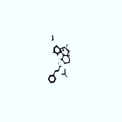 COc1cc(OC(C)=O)c2c3c1O[C@H]1[C@@H](N(CC(C)C)C(=O)C=Cc4ccccc4)CC[C@H]4[C@@H](C2)N(C)CC[C@@]341